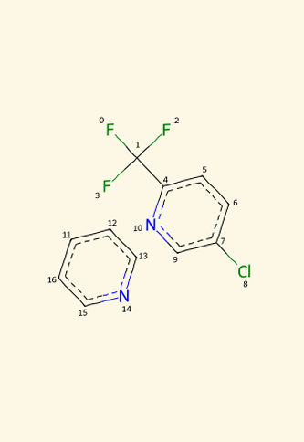 FC(F)(F)c1ccc(Cl)cn1.c1ccncc1